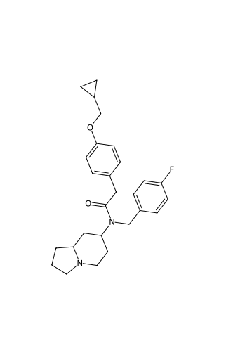 O=C(Cc1ccc(OCC2CC2)cc1)N(Cc1ccc(F)cc1)C1CCN2CCCC2C1